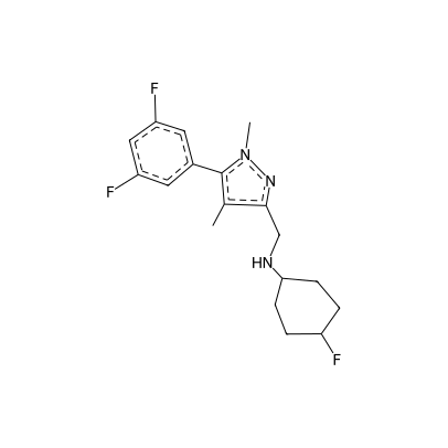 Cc1c(CNC2CCC(F)CC2)nn(C)c1-c1cc(F)cc(F)c1